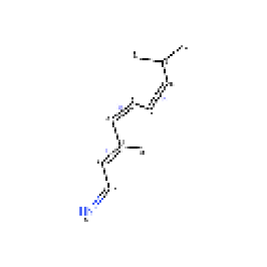 CC(/C=C\C=C/C(C)C)=C\C=N